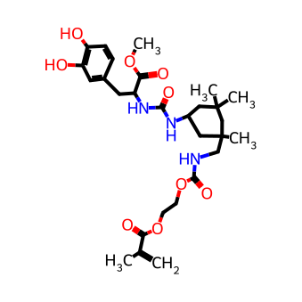 C=C(C)C(=O)OCCOC(=O)NCC1(C)CC(NC(=O)NC(Cc2ccc(O)c(O)c2)C(=O)OC)CC(C)(C)C1